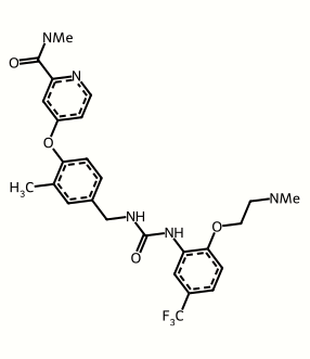 CNCCOc1ccc(C(F)(F)F)cc1NC(=O)NCc1ccc(Oc2ccnc(C(=O)NC)c2)c(C)c1